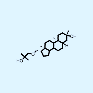 CC(C)(O)COC[C@H]1CCC2C3CC[C@H]4C[C@@](C)(O)CC[C@]4(C)C3CC[C@@]21C